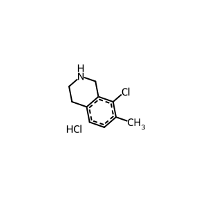 Cc1ccc2c(c1Cl)CNCC2.Cl